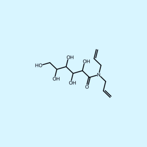 C=CCN(CC=C)C(=O)C(O)C(O)C(O)C(O)CO